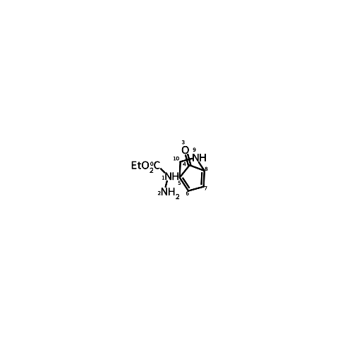 CCOC(=O)NN.O=C1C2=CC=C1NC2